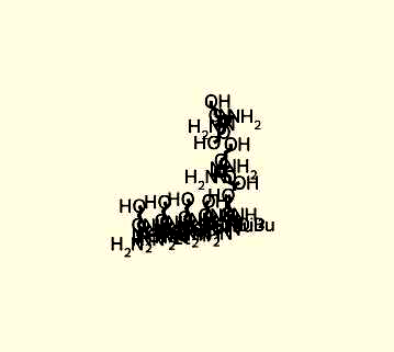 CC(C)COc1nc(N)nc(OCCCO)c1N.CC(C)COc1nc(N)nc(OCCO)c1N.CC(O)COc1nc(N)nc(OCCCO)c1N.CCCOc1nc(N)nc(OCCCO)c1N.CCOc1nc(N)nc(OCCCO)c1N.COc1nc(N)nc(OCCCO)c1N.Nc1nc(OCCO)c(N)c(OCCO)n1